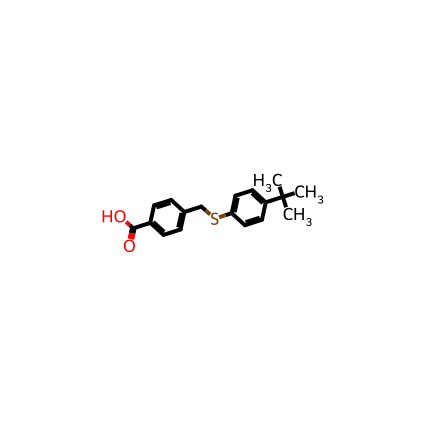 CC(C)(C)c1ccc(SCc2ccc(C(=O)O)cc2)cc1